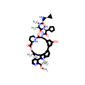 CO[C@@H](C)c1ncccc1-c1c2c3cc(ccc3n1C)-c1cc(O)cc(c1)C[C@H](NC(=O)[C@H](C1CCCC1)N(C)C(=O)[C@@H](C)N(C)C(=O)[C@@H]1N[C@@H]1C1CC1)C(=O)N1CCC[C@H](N1)C(=O)OCC(C)(C)C2